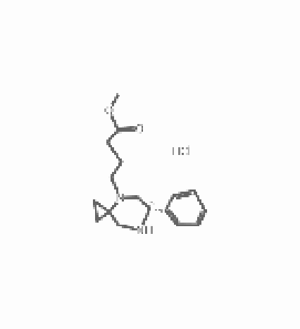 COC(=O)CCCN1C[C@H](c2ccccc2)NCC12CC2.Cl